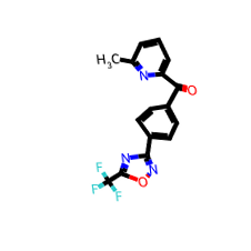 Cc1cccc(C(=O)c2ccc(-c3noc(C(F)(F)F)n3)cc2)n1